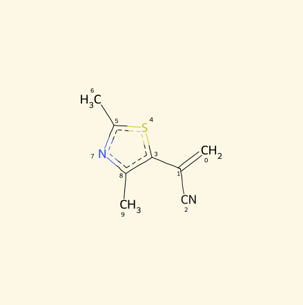 C=C(C#N)c1sc(C)nc1C